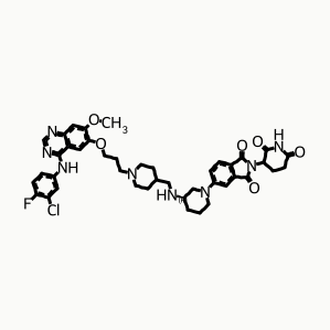 COc1cc2ncnc(Nc3ccc(F)c(Cl)c3)c2cc1OCCCN1CCC(CN[C@@H]2CCCN(c3ccc4c(c3)C(=O)N(C3CCC(=O)NC3=O)C4=O)C2)CC1